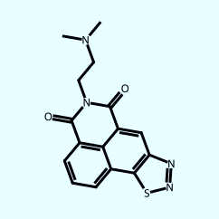 CN(C)CCN1C(=O)c2cccc3c2c(cc2nnsc23)C1=O